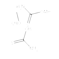 CC=O.COC(N)=S.NC(O)=S